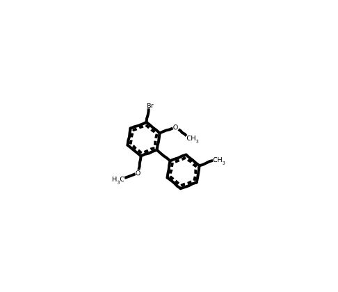 COc1ccc(Br)c(OC)c1-c1cccc(C)c1